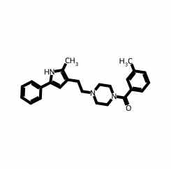 Cc1cccc(C(=O)N2CCN(CCc3cc(-c4ccccc4)[nH]c3C)CC2)c1